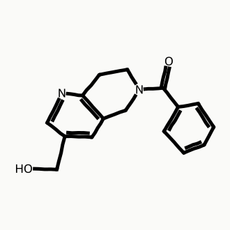 O=C(c1ccccc1)N1CCc2ncc(CO)cc2C1